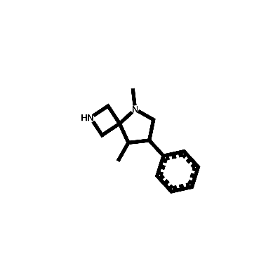 CC1C(c2ccccc2)CN(C)C12CNC2